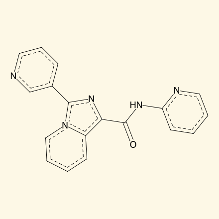 O=C(Nc1ccccn1)c1nc(-c2cccnc2)n2ccccc12